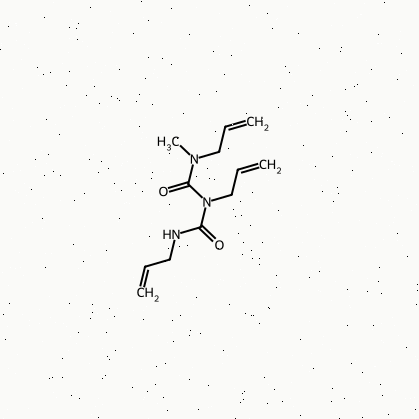 C=CCNC(=O)N(CC=C)C(=O)N(C)CC=C